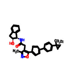 CCOC(=O)C1(c2ccc(-c3ccc(-c4onc(C)c4CC(=O)N[C@H]4c5ccccc5C[C@H]4O)cc3)cc2)CC1